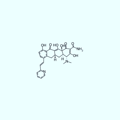 CN(C)[C@H]1C(O)=C(C(N)=O)C(=O)[C@@]2(O)C(O)=C3C(=O)c4c(O)ccc(/C=C/c5ccccn5)c4C[C@H]3C[C@H]12